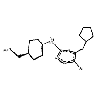 COC[C@H]1CC[C@H](Nc2ncc(C(C)=O)c(CC3CCCC3)n2)CC1